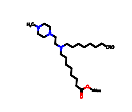 CCCCCCCCCOC(=O)CCCCCCCN(CCCCCCCC=O)CCN1CCN(C)CC1